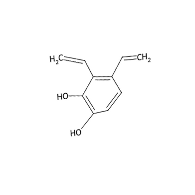 C=Cc1ccc(O)c(O)c1C=C